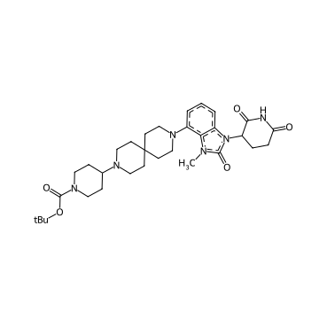 Cn1c(=O)n(C2CCC(=O)NC2=O)c2cccc(N3CCC4(CC3)CCN(C3CCN(C(=O)OC(C)(C)C)CC3)CC4)c21